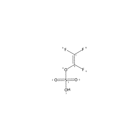 O=S(=O)(O)OC(F)=C(F)F